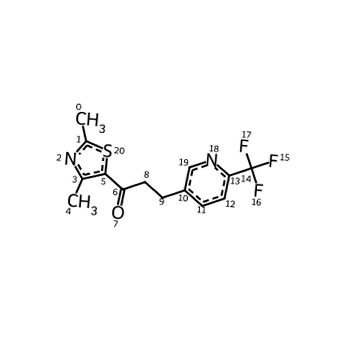 Cc1nc(C)c(C(=O)CCc2ccc(C(F)(F)F)nc2)s1